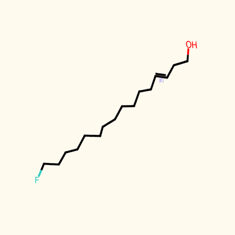 OCC/C=C/CCCCCCCCCCCCF